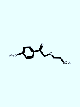 CCCCCCCCCCOCC(=O)c1ccc(OC)cc1